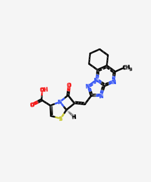 Cc1nc2nc(C=C3C(=O)N4C(C(=O)O)=CS[C@H]34)nn2c2c1CCCC2